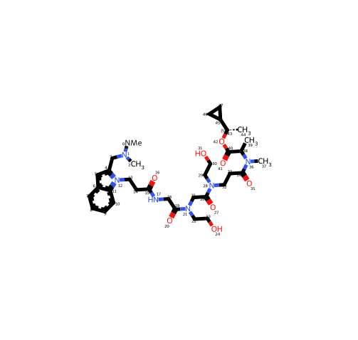 CNN(C)Cc1cc2ccccc2n1CCC(=O)NCC(=O)N(CCO)CC(=O)N(CCO)CCC(=O)N(C)C(C)C(=O)O[C@@H](C)C1CC1